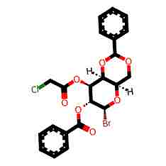 O=C(CCl)O[C@@H]1[C@@H](OC(=O)c2ccccc2)[C@H](Br)O[C@@H]2COC(c3ccccc3)O[C@H]12